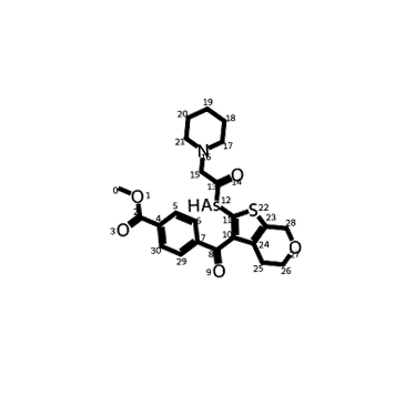 COC(=O)c1ccc(C(=O)c2c([AsH]C(=O)CN3CCCCC3)sc3c2CCOC3)cc1